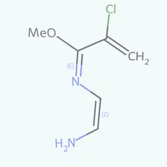 C=C(Cl)/C(=N\C=C/N)OC